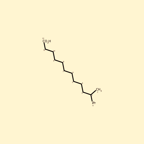 CC(C)C(C)CCCCCCCCCC(=O)O